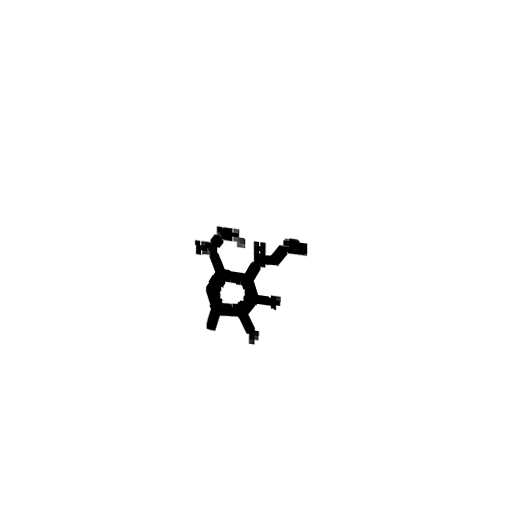 Cc1cc(NN)c(NCC(C)(C)C)c(F)c1F